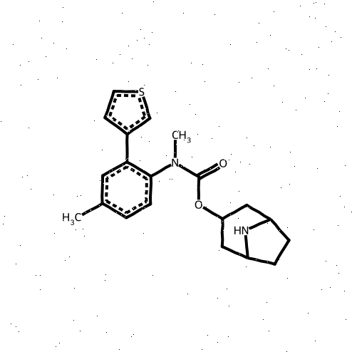 Cc1ccc(N(C)C(=O)OC2CC3CCC(C2)N3)c(-c2ccsc2)c1